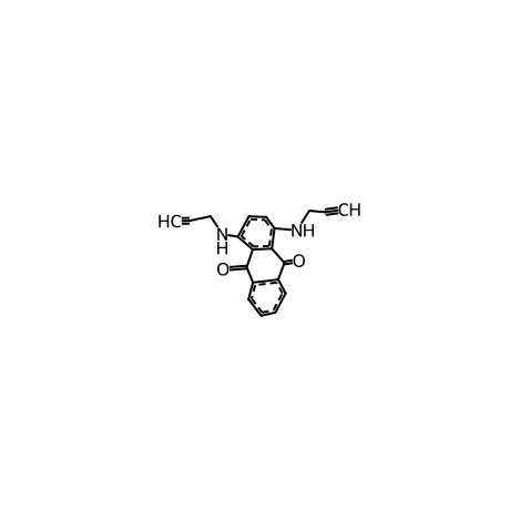 C#CCNc1ccc(NCC#C)c2c1C(=O)c1ccccc1C2=O